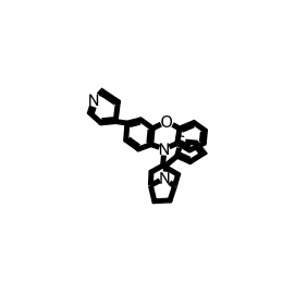 c1csc(CN2C3CCC2CC(N2c4ccccc4Oc4cc(-c5ccncc5)ccc42)C3)c1